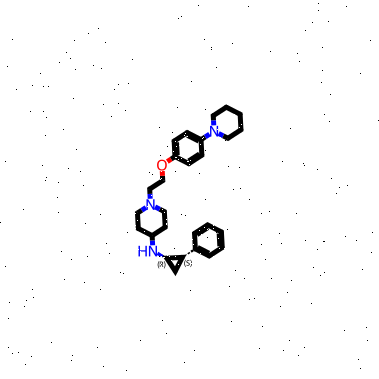 c1ccc([C@@H]2C[C@H]2NC2CCN(CCOc3ccc(N4CCCCC4)cc3)CC2)cc1